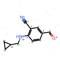 N#Cc1cc(C=O)ccc1NCC1CC1